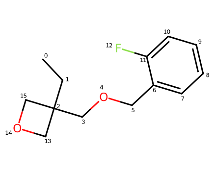 CCC1(COCc2ccccc2F)COC1